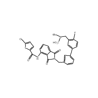 CC(C)(C)N(Cc1cc(-c2cccc(CN3C(=O)c4cccc(NC(=O)c5ccc(Cl)s5)c4C3=O)c2)ccc1F)C(=O)O